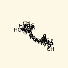 C#Cc1c(F)ccc2cc(O)cc(-c3ncc4c(N5CC6CCC(C5)N6C(=O)OC(C)(C)C)nc(OCCN5CCC(F)(CN6CCN(c7cc([C@H](C(=O)N8C[C@H](O)C[C@H]8C(=O)N[C@@H](C)c8ccc(-c9scnc9C)cc8)C(C)C)on7)CC6)CC5)nc4c3F)c12